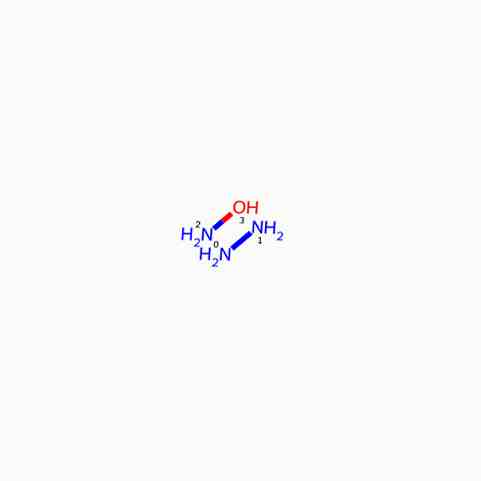 NN.NO